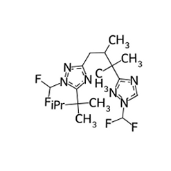 CC(C)C(C)(C)c1nc(CC(C)C(C)(C)c2ncn(C(F)F)n2)nn1C(F)F